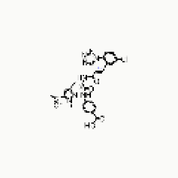 Cn1nc(C[C@H](NC(=O)/C=C/c2cc(Cl)ccc2-n2cnnn2)C(=O)Nc2ccc(C(=O)O)cc2)cc1[S+](C)[O-]